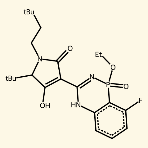 CCOP1(=O)N=C(C2=C(O)C(C(C)(C)C)N(CCC(C)(C)C)C2=O)Nc2cccc(F)c21